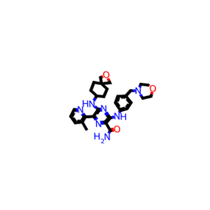 Cc1cccnc1-c1nc(C(N)=O)c(Nc2ccc(CN3CCOCC3)cc2)nc1NC1CCC2(CC1)COC2